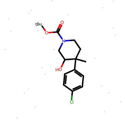 CC(C)(C)OC(=O)N1CCC(C)(c2ccc(Cl)cc2)C(O)C1